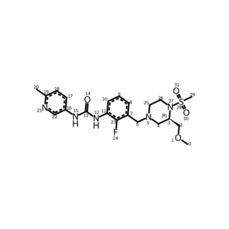 COC[C@H]1CN(Cc2cccc(NC(=O)Nc3ccc(C)nc3)c2F)CCN1S(C)(=O)=O